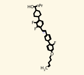 C=CCCCOc1ccc(C2C=CC(/C=C/c3ccc(C4CCC(C(O)CCC)CC4)c(F)c3F)=CC2)c(F)c1